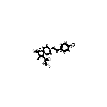 CC1=C(C(N)=O)C2(CCN(CCc3ccc(Cl)cc3)CC2)OC1=O